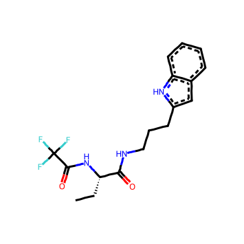 CC[C@H](NC(=O)C(F)(F)F)C(=O)NCCCc1cc2ccccc2[nH]1